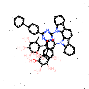 Bc1c(B)c(B)c(-c2ccc(-n3c4ccccc4c4ccc5c6ccccc6n(-c6nc(-c7ccccc7)nc(-c7ccc(-c8ccccc8)cc7)n6)c5c43)cc2-c2c(B)c(B)c(B)c(O)c2B)c(C)c1B